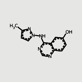 Cc1ccn(Nc2ncnc3ccc(O)cc23)n1